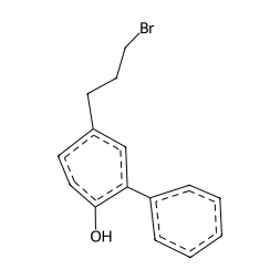 Oc1ccc(CCCBr)cc1-c1ccccc1